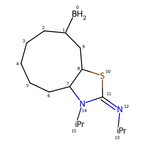 BC1CCCCCC2C(C1)S/C(=N/C(C)C)N2C(C)C